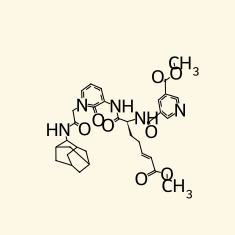 COC(=O)/C=C/CC[C@H](NC(=O)c1cncc(C(=O)OC)c1)C(=O)Nc1cccn(CC(=O)NC2C3CC4CC(C3)CC2C4)c1=O